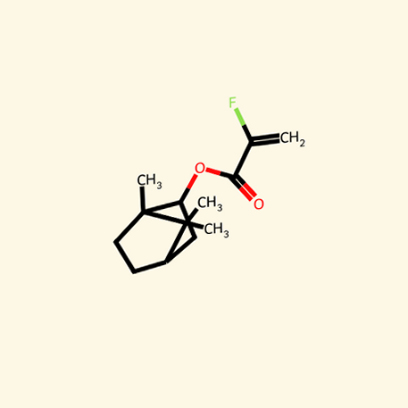 C=C(F)C(=O)OC1CC2CCC1(C)C2(C)C